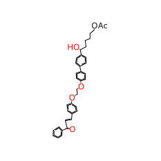 CC(=O)OCCCCCC(O)c1ccc(-c2ccc(OCCOc3ccc(/C=C/C(=O)c4ccccc4)cc3)cc2)cc1